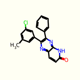 Cc1cc(Cl)cc(-c2nc3ccc(=O)[nH]c3nc2-c2ccccc2)c1